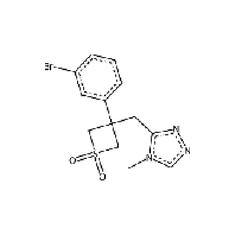 Cn1cnnc1CC1(c2cccc(Br)c2)CS(=O)(=O)C1